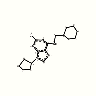 Clc1nc(NCC2CCCCC2)c2ncn(C3CCCC3)c2n1